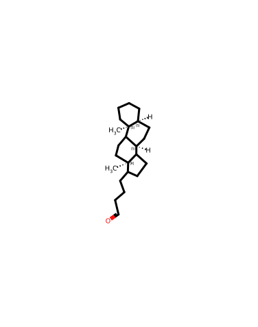 C[C@]12CCC3[C@@H](CC[C@@H]4CCCC[C@]34C)C1CCC2CCCC=O